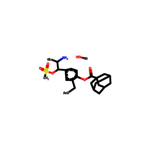 CC(=O)OCc1cc(C(OS(C)(=O)=O)C(N)C(C)(C)C)ccc1OC(=O)C12CC3CC(CC(C3)C1)C2.CCO